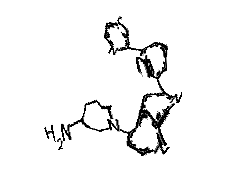 NC1CCCN(c2ccnc3cnc(-c4cccc(-c5nccs5)n4)cc23)C1